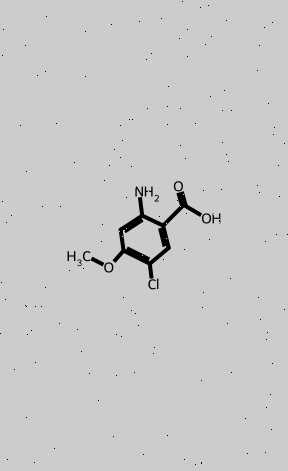 COc1cc(N)c(C(=O)O)cc1Cl